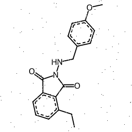 CCc1cccc2c1C(=O)N(NCc1ccc(OC)cc1)C2=O